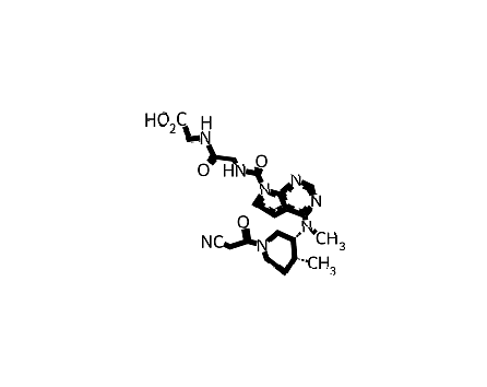 C[C@@H]1CCN(C(=O)CC#N)C[C@@H]1N(C)c1ncnc2c1ccn2C(=O)NCC(=O)NCC(=O)O